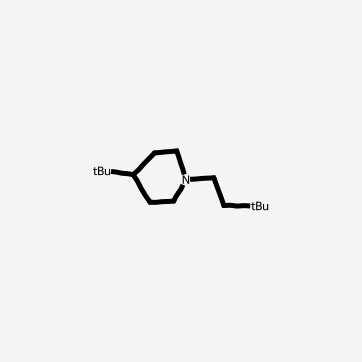 CC(C)(C)CCN1CCC(C(C)(C)C)CC1